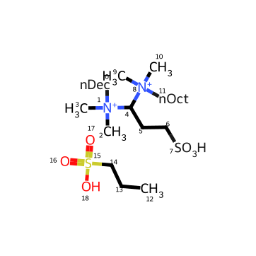 CCCCCCCCCC[N+](C)(C)C(CCS(=O)(=O)O)[N+](C)(C)CCCCCCCC.CCCS(=O)(=O)O